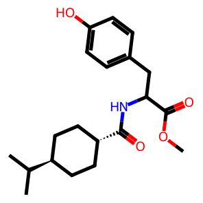 COC(=O)C(Cc1ccc(O)cc1)NC(=O)[C@H]1CC[C@H](C(C)C)CC1